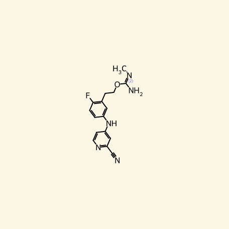 C/N=C(/N)OCCc1cc(Nc2ccnc(C#N)c2)ccc1F